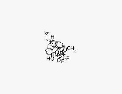 CO[C@]12CC[C@@]3(C[C@@H]1CNS(=O)(=O)C(F)(F)F)[C@H]1Cc4ccc(O)c5c4[C@@]3(CCN1CC1CC1)C2O5